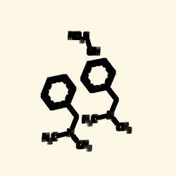 CN(C)Cc1ccccc1.CN(C)Cc1ccccc1.O=S(=O)(O)O